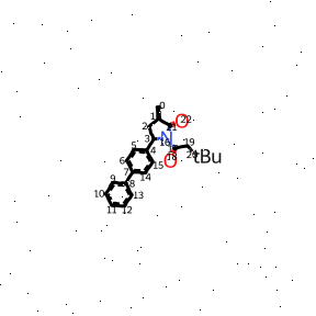 C=C1CC(c2ccc(-c3ccccc3)cc2)N(C(=O)CC(C)(C)C)C1=O